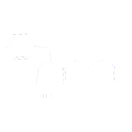 Cc1c(C(=O)OCCN(C)C)sc2ccccc12.Cl